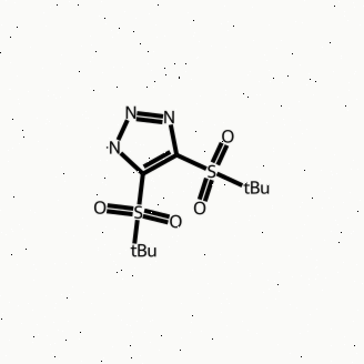 CC(C)(C)S(=O)(=O)C1=C(S(=O)(=O)C(C)(C)C)N=N[N]1